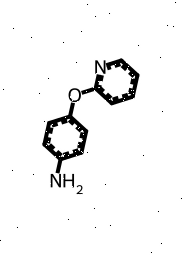 Nc1ccc(Oc2ccccn2)cc1